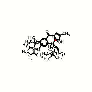 C=CCN(C(=O)O)c1cc(O[Si](C(C)C)(C(C)C)C(C)C)c(OC)cc1C(=O)N1C=C(C)C[C@H]1CO[Si](C)(C)C(C)(C)C